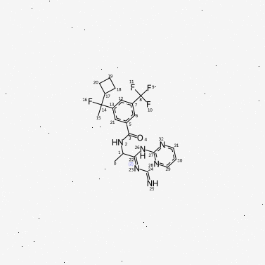 CC(NC(=O)c1cc(C(F)(F)F)cc(C(C)(F)C2CCC2)c1)/C(=N/C=N)Nc1ncccn1